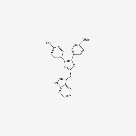 COc1ccc(-c2oc(Cc3c[nH]c4ccccc34)nc2-c2ccc(O)cc2)cc1